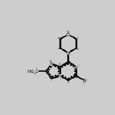 O=C(O)c1cn2cc(Br)nc(N3CCOCC3)c2n1